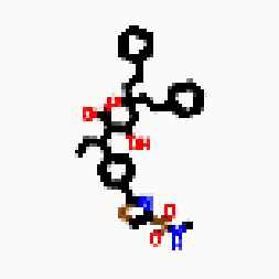 CCC(C1=C(O)CC(CCc2ccccc2)(CCc2ccccc2)OC1=O)c1ccc(-c2nc(S(=O)(=O)NC)cs2)cc1